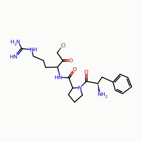 N=C(N)NCCCC(NC(=O)C1CCCN1C(=O)[C@H](N)Cc1ccccc1)C(=O)CCl